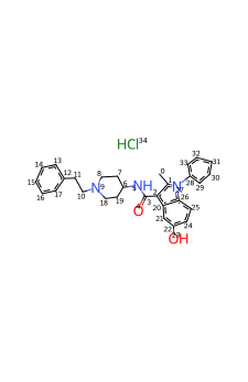 Cc1c(C(=O)NC2CCN(CCc3ccccc3)CC2)c2cc(O)ccc2n1-c1ccccc1.Cl